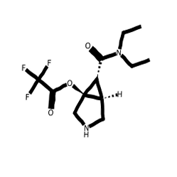 CCN(CC)C(=O)[C@@H]1[C@H]2CNC[C@@]21OC(=O)C(F)(F)F